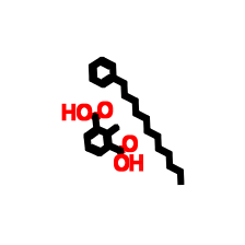 CCCCCCCCCCCCc1ccccc1.Cc1c(C(=O)O)cccc1C(=O)O